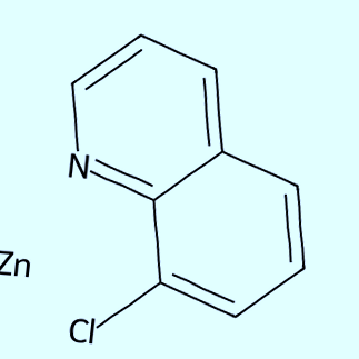 Clc1cccc2cccnc12.[Zn]